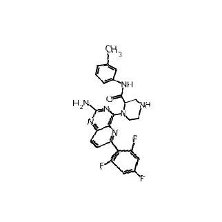 Cc1cccc(NC(=O)C2CNCCN2c2nc(N)nc3ccc(-c4c(F)cc(F)cc4F)nc23)c1